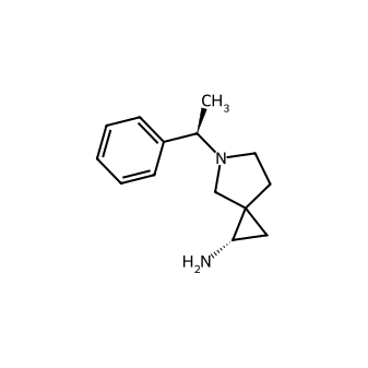 C[C@H](c1ccccc1)N1CCC2(C[C@@H]2N)C1